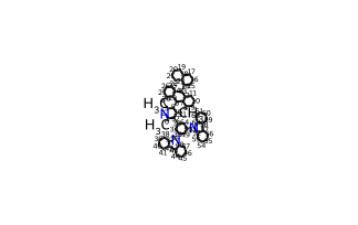 Cc1nc(C)c(-c2c3ccccc3c(-c3cccc4ccccc34)c3ccccc23)c(C)c1-c1cc(-n2c3ccccc3c3ccccc32)cc(-n2c3ccccc3c3ccccc32)c1